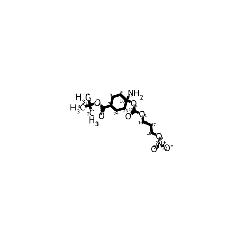 CC(C)(C)OC(=O)C1CCC(N)(OC(=O)OCCCO[N+](=O)[O-])CC1